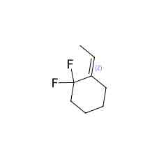 C/C=C1/CCCCC1(F)F